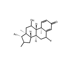 CC(=O)[C@H]1C(C)C[C@H]2[C@@H]3CC(F)C4=CC(=O)C=C[C@]4(C)[C@H]3C(O)C[C@]12C